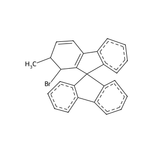 CC1C=CC2=C(C1Br)C1(c3ccccc32)c2ccccc2-c2ccccc21